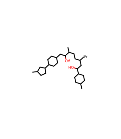 CC1CCC(C(O)CC(CCC(C)C(O)CC2CCC(C3CCC(C)C3)CC2)C(C)C)CC1